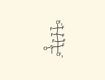 C[Si](C)(Cl)C(F)(C(F)(F)F)C(F)(F)C(F)(F)C(F)(F)C(F)(F)F